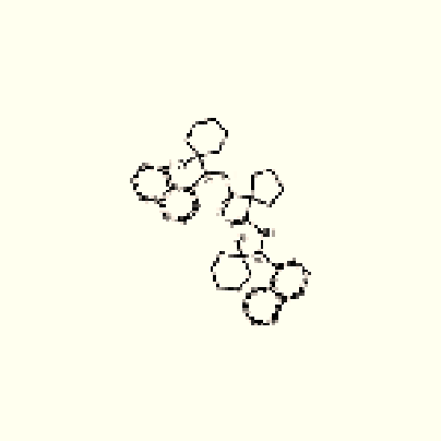 O=C(N[C@@H](c1cccc2ccccc12)C1(O)CCCCC1)C1(C(=O)N[C@@H](c2cccc3ccccc23)C2(O)CCCCC2)CCCC1